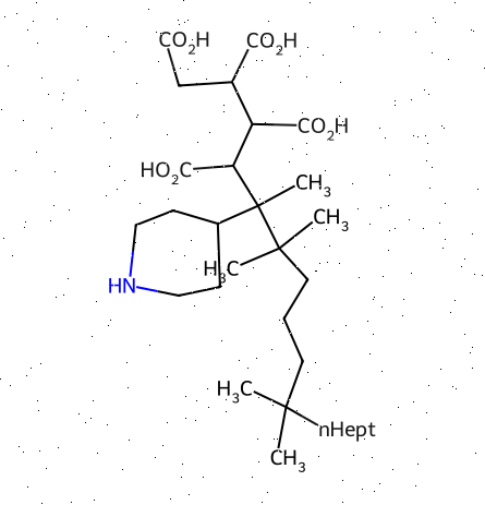 CCCCCCCC(C)(C)CCCC(C)(C)C(C)(C1CCNCC1)C(C(=O)O)C(C(=O)O)C(CC(=O)O)C(=O)O